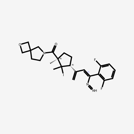 C=C(/C=C(\N=N)c1c(F)cccc1F)[C@H]1CC[C@](C)(C(=O)N2CCC3(COC3)C2)C1(C)I